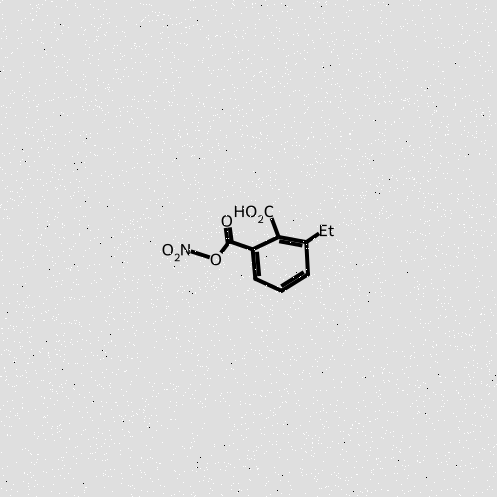 CCc1cccc(C(=O)O[N+](=O)[O-])c1C(=O)O